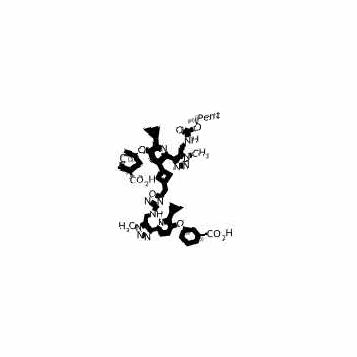 CCC[C@@H](C)OC(=O)NCc1c(-c2nc(C3CC3)c(O[C@H]3CCC[C@H](C(=O)O)C3)cc2C2CC(Cc3nc(NCc4c(-c5ccc(O[C@H]6CCC[C@H](C(=O)O)C6)c(C6CC6)n5)nnn4C)no3)C2)nnn1C